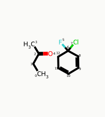 CCC(C)=O.FC1(Cl)C=CC=CC1